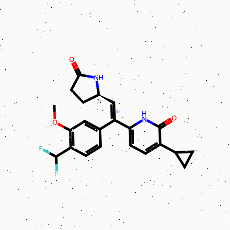 COc1cc(/C(=C\[C@H]2CCC(=O)N2)c2ccc(C3CC3)c(=O)[nH]2)ccc1C(F)F